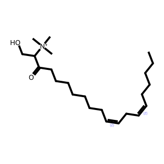 CCCCC/C=C\C/C=C\CCCCCCCC(=O)C(CO)[N+](C)(C)C